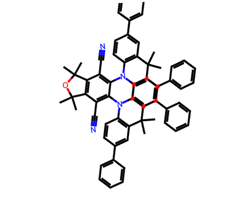 CC1(C)OC(C)(C)c2c(C#N)c(N3c4ccc(-c5ccccc5)cc4C(C)(C)c4cc(-c5ccccc5)ccc43)c(N3c4ccc(-c5ccccc5)cc4C(C)(C)c4cc(-c5ccccc5)ccc43)c(C#N)c21